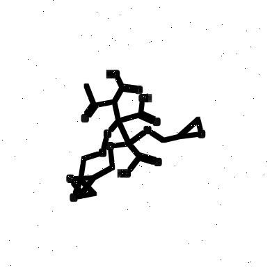 CC(=O)C(C(=O)O)C(OOCC1CO1)(C(=O)O)C(OCC1CO1)(OCC1CO1)C(=O)O